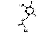 CC(C)(C)OC(=O)NCc1cc(N)c(F)cc1F